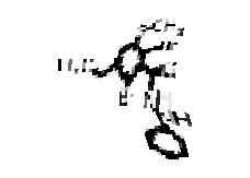 CCc1cc(SC)c(Br)c(C(=O)NNc2ccccc2)c1Br